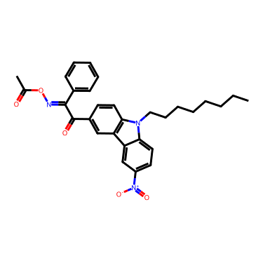 CCCCCCCCn1c2ccc(C(=O)/C(=N/OC(C)=O)c3ccccc3)cc2c2cc([N+](=O)[O-])ccc21